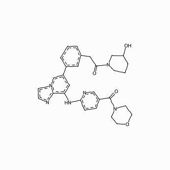 O=C(Cc1cccc(-c2cc(Nc3ccc(C(=O)N4CCOCC4)cn3)c3nccn3c2)c1)N1CCCC(O)C1